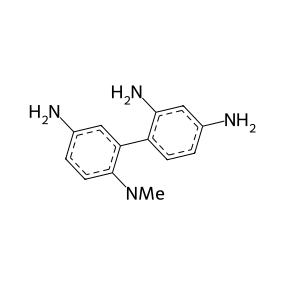 CNc1ccc(N)cc1-c1ccc(N)cc1N